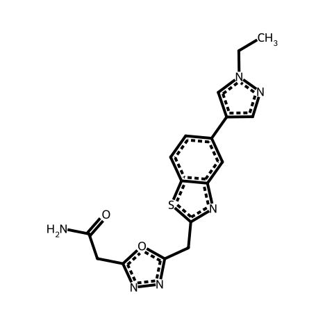 CCn1cc(-c2ccc3sc(Cc4nnc(CC(N)=O)o4)nc3c2)cn1